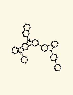 c1ccc(-c2ccc(C3c4ccccc4-c4cc(-c5ccc6c(c5)c5cc7c(cc5n6-c5ccc6ccccc6c5)c5ccccc5n7-c5ccccc5)ccc43)cc2)cc1